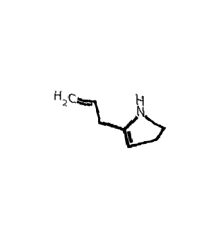 C=CCC1=CCCN1